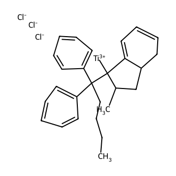 CCCCC(c1ccccc1)(c1ccccc1)[C]1([Ti+3])C2=CC=CCC2CC1C.[Cl-].[Cl-].[Cl-]